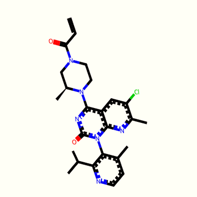 C=CC(=O)N1CCN(c2nc(=O)n(-c3c(C)ccnc3C(C)C)c3nc(C)c(Cl)cc23)[C@@H](C)C1